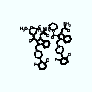 C[C@@H]1CN(C(=O)c2c(CN3CCC(c4c(F)cccc4Cl)CC3)c3ccccc3n2CC(N)=O)C[C@H](C)O1.NC(=O)Cn1c(C(=O)N2CCCCC2)c(CN2CCC(c3c(F)cccc3Cl)CC2)c2ccccc21